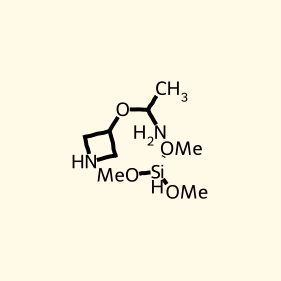 CC(N)OC1CNC1.CO[SiH](OC)OC